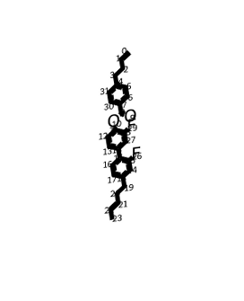 C=CCCc1ccc(C(=O)Oc2ccc(-c3ccc(CC/C=C/C)cc3F)cc2F)cc1